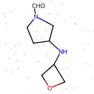 O=CN1CCC(NC2COC2)C1